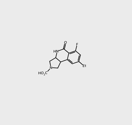 CCc1cc(F)c2c(c1)C1CN(C(=O)O)CC1NC2=O